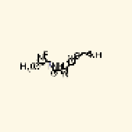 COc1cnc(F)c(/C=N/NC(=O)c2cncc(-c3ccc(OCCC4CNC4)nc3)n2)c1